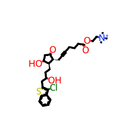 C[N+](C)(C)CCOC(=O)CCCC#CC[C@H]1C(=O)CC(O)[C@@H]1CCC(O)Cc1sc2ccccc2c1Cl